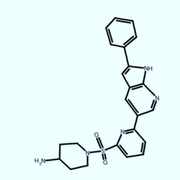 NC1CCN(S(=O)(=O)c2cccc(-c3cnc4[nH]c(-c5ccccc5)cc4c3)n2)CC1